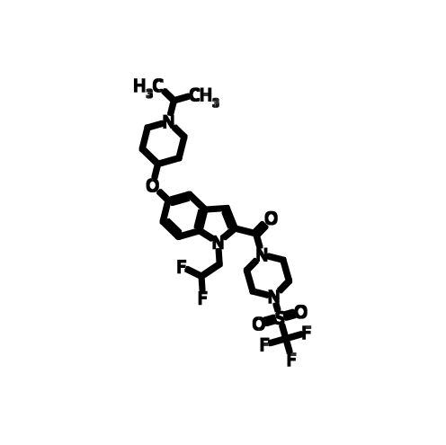 CC(C)N1CCC(Oc2ccc3c(c2)cc(C(=O)N2CCN(S(=O)(=O)C(F)(F)F)CC2)n3CC(F)F)CC1